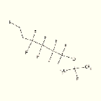 FC(F)(F)C(F)(OC(F)(F)C(F)(F)C(F)(F)C(F)(F)CCI)C(F)(F)F